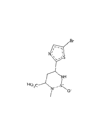 CN1C(C(=O)O)CC(c2ncc(Br)s2)N[S+]1[O-]